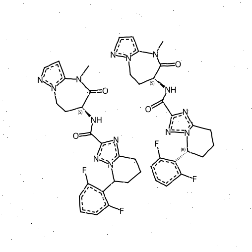 CN1C(=O)[C@@H](NC(=O)c2nc3n(n2)C(c2c(F)cccc2F)CCC3)CCn2nccc21.CN1C(=O)[C@@H](NC(=O)c2nc3n(n2)[C@@H](c2c(F)cccc2F)CCC3)CCn2nccc21